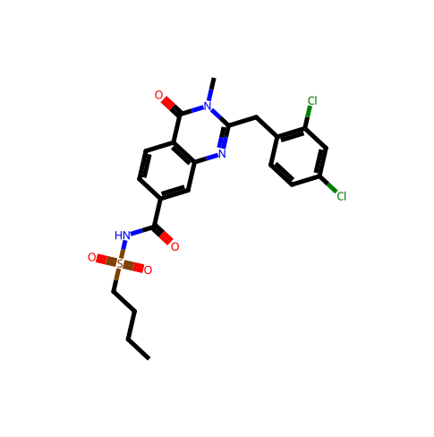 CCCCS(=O)(=O)NC(=O)c1ccc2c(=O)n(C)c(Cc3ccc(Cl)cc3Cl)nc2c1